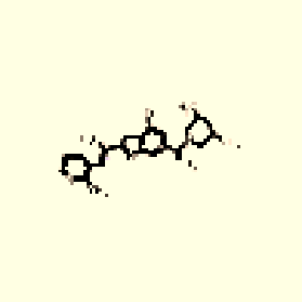 C=C(c1cc(CC)c2c(c1)N=C(/C(C)=C/c1cccnc1C)C2)N1CC(C)CC(C)C1